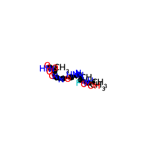 COc1ccc(C(=O)N2CCC(CN3CCC(COc4ccc(-c5cc6c(-c7cc(F)cc(NC(=O)N8C[C@H](CC(C)C)[C@@H](O)C8)c7C)ncnc6[nH]5)cc4)CC3)CC2)cc1N1CCC(=O)NC1=O